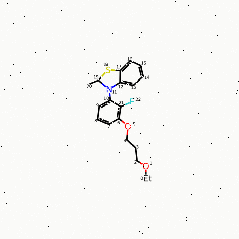 CCOCCCOc1cccc(N2c3ccccc3SC2C)c1F